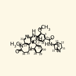 COc1cc(C(=O)NC2CN3CCC2CC3)ccc1Nc1ncc2c(n1)N(c1ccccc1OC)CCC(=O)N2C